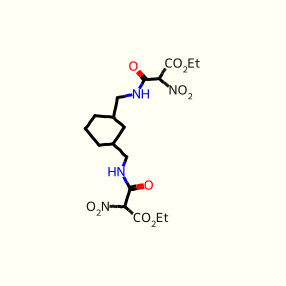 CCOC(=O)C(C(=O)NCC1CCCC(CNC(=O)C(C(=O)OCC)[N+](=O)[O-])C1)[N+](=O)[O-]